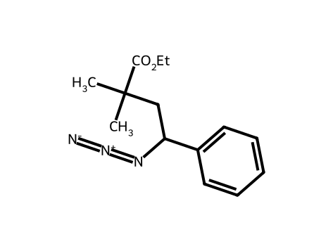 CCOC(=O)C(C)(C)CC(N=[N+]=[N-])c1ccccc1